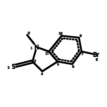 CN1C(=S)Cc2cc(Br)ccc21